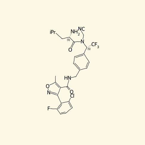 Cc1onc(-c2c(F)cccc2Cl)c1C(=O)NCc1ccc([C@H](N(CC#N)C(=O)[C@@H](N)CC(C)C)C(F)(F)F)cc1